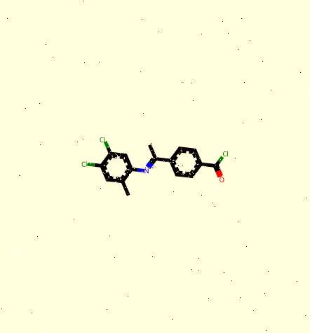 C/C(=N\c1cc(Cl)c(Cl)cc1C)c1ccc(C(=O)Cl)cc1